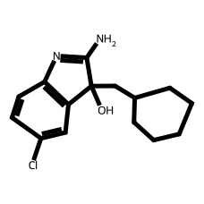 NC1=Nc2ccc(Cl)cc2C1(O)CC1CCCCC1